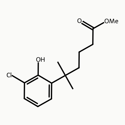 COC(=O)CCCC(C)(C)c1cccc(Cl)c1O